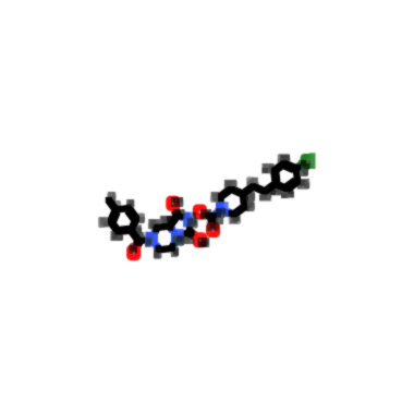 Cc1ccc(C(=O)N2CCN3C(=O)N(OC(=O)N4CCC(CCc5ccc(Cl)cc5)CC4)C(=O)C3C2)cc1